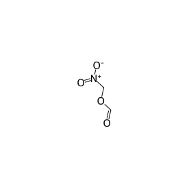 O=COC[N+](=O)[O-]